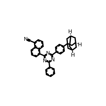 N#Cc1cccc2c(-c3nc(-c4ccccc4)nc(-c4ccc(C56C[C@H]7C[C@H](C5)C[C@@H](C6)C7)cc4)n3)cccc12